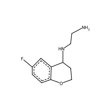 NCCNC1CCOc2ccc(F)cc21